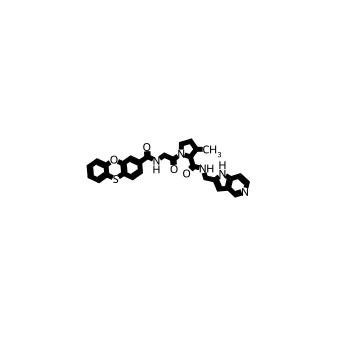 CC1CCN(C(=O)CNC(=O)c2ccc3c(c2)Oc2ccccc2S3)C1C(=O)NCc1cc2cnccc2[nH]1